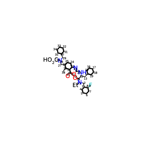 CCN(Cc1ccccc1F)C(=O)[C@H](Cc1ccccc1)Nc1nc2ccc(CN(Cc3ccccc3)C(=O)O)c(C)c2c(=O)o1